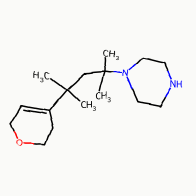 CC(C)(CC(C)(C)N1CCNCC1)C1=CCOCC1